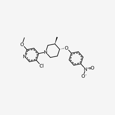 COc1cc(N2CC[C@@H](Oc3ccc([N+](=O)[O-])cc3)[C@H](C)C2)c(Cl)cn1